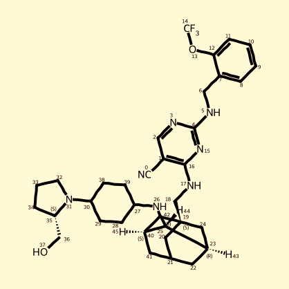 N#Cc1cnc(NCc2ccccc2OC(F)(F)F)nc1NC[C@]12CC3C[C@H](C1)[C@@H](NC1CCC(N4CCC[C@H]4CO)CC1)[C@@H](C3)C2